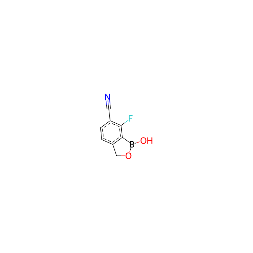 N#Cc1ccc2c(c1F)B(O)OC2